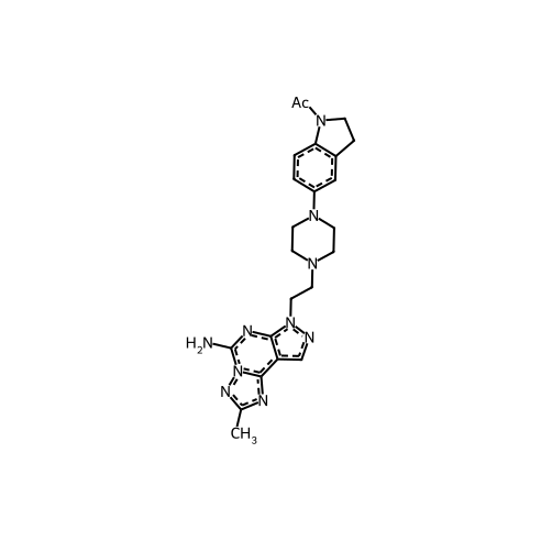 CC(=O)N1CCc2cc(N3CCN(CCn4ncc5c4nc(N)n4nc(C)nc54)CC3)ccc21